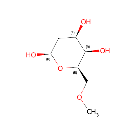 COC[C@H]1O[C@@H](O)C[C@@H](O)[C@H]1O